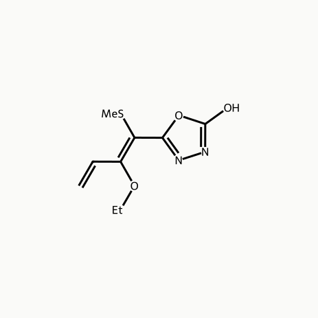 C=C/C(OCC)=C(\SC)c1nnc(O)o1